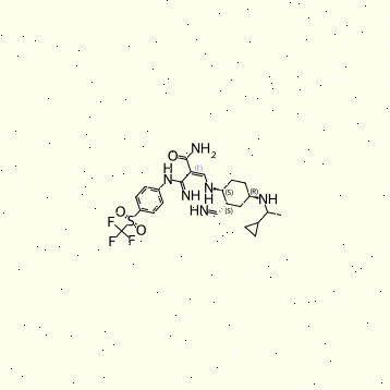 CC(N[C@@H]1CC[C@H](N/C=C(\C(=N)Nc2ccc(S(=O)(=O)C(F)(F)F)cc2)C(N)=O)[C@@H](C=N)C1)C1CC1